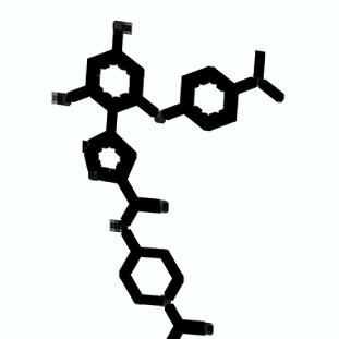 CN(C)c1ccc(Oc2cc(O)cc(O)c2-c2cc(C(=O)NC3CCN(C(=O)O)CC3)on2)cc1